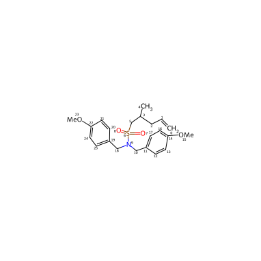 C=CCC(C)CS(=O)(=O)N(Cc1ccc(OC)cc1)Cc1ccc(OC)cc1